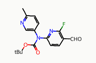 Cc1ccc(N(C(=O)OC(C)(C)C)c2ccc(C=O)c(F)n2)cn1